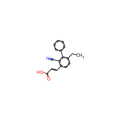 CCc1ccc(C=CC(=O)O)c(C#N)c1-c1ccccc1